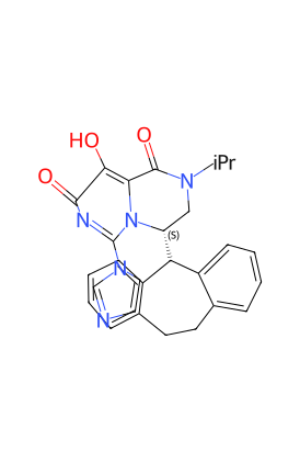 CC(C)N1C[C@H](C2c3ccccc3CCc3ccccc32)n2c(-n3ccnc3)nc(=O)c(O)c2C1=O